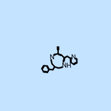 C#CC1=C/C(Cc2ccccn2)=C/NCCC(Cc2ccccc2)CC/N=C\1